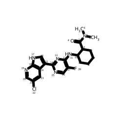 CN(C)C(=O)C1CCCCC1Nc1nc(-c2c[nH]c3ncc(Cl)cc23)ncc1F